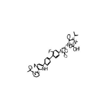 CC(=O)N1CCC[C@H]1c1ncc(-c2ccc(-c3ccc(N4C[C@H](CNC(=O)[C@H](C(C)C)N(C)C(=O)O)OC4=O)cc3F)cc2)[nH]1